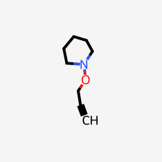 C#CCON1CCCCC1